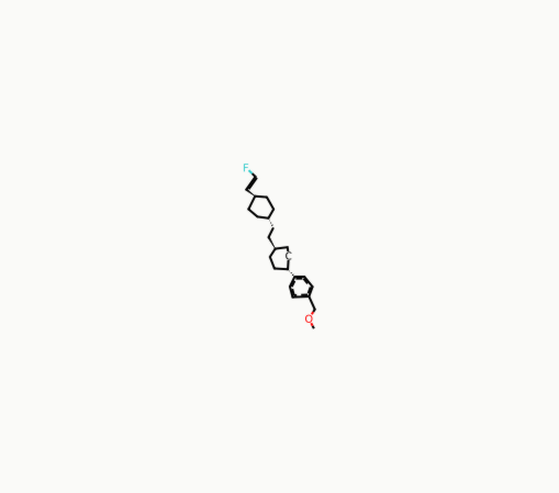 COCc1ccc([C@H]2CC[C@H](CC[C@H]3CC[C@H](C=CF)CC3)CC2)cc1